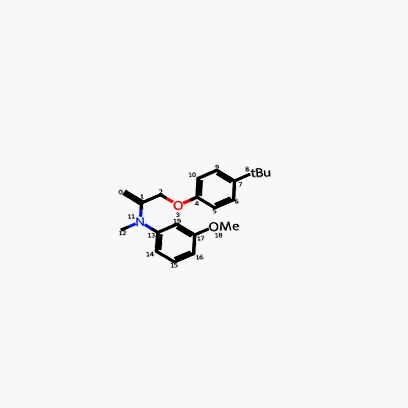 C=C(COc1ccc(C(C)(C)C)cc1)N(C)c1cccc(OC)c1